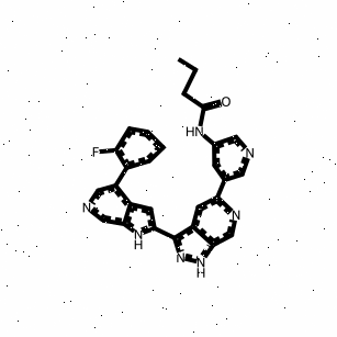 CCCC(=O)Nc1cncc(-c2cc3c(-c4cc5c(-c6ccccc6F)cncc5[nH]4)n[nH]c3cn2)c1